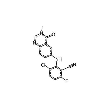 Cn1cnc2ccc(Nc3c(Cl)ccc(F)c3C#N)cc2c1=O